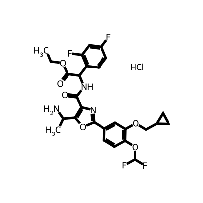 CCOC(=O)C(NC(=O)c1nc(-c2ccc(OC(F)F)c(OCC3CC3)c2)oc1C(C)N)c1ccc(F)cc1F.Cl